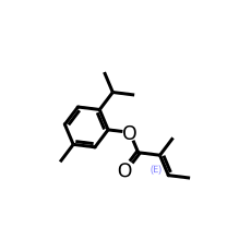 C/C=C(\C)C(=O)Oc1cc(C)ccc1C(C)C